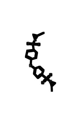 CC1CN1S(=O)(=O)c1ccc(Oc2ccc(S(=O)(=O)N3CC3C)cc2)cc1